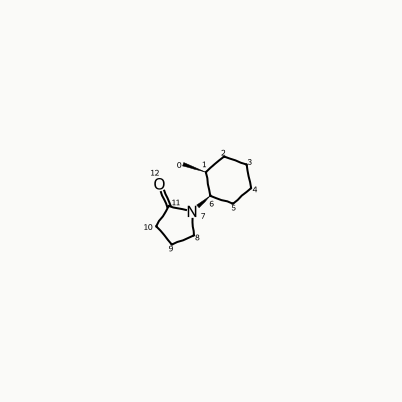 C[C@H]1CCCC[C@H]1N1CCCC1=O